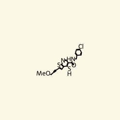 COCC#Cc1cc2c(S)c(C(=O)NCc3ccc(Cl)cc3)cnc2s1